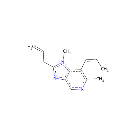 C=CCc1nc2cnc(C)c(/C=C\C)c2n1C